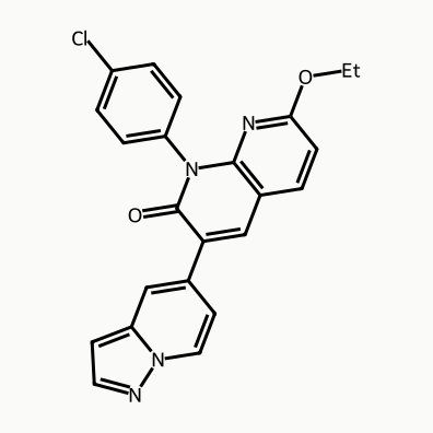 CCOc1ccc2cc(-c3ccn4nccc4c3)c(=O)n(-c3ccc(Cl)cc3)c2n1